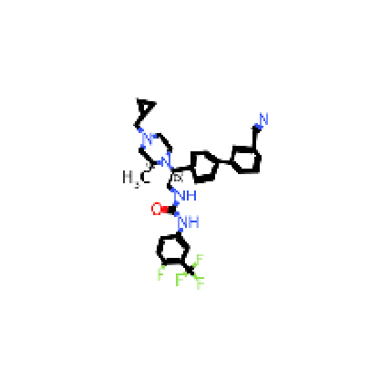 C[C@H]1CN(CC2CC2)CCN1[C@H](CNC(=O)Nc1ccc(F)c(C(F)(F)F)c1)c1ccc(-c2cccc(C#N)c2)cc1